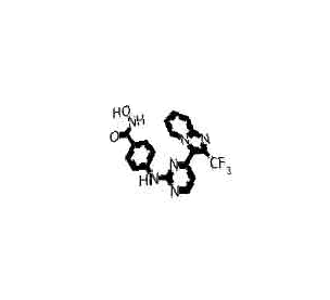 O=C(NO)c1ccc(Nc2nccc(-c3c(C(F)(F)F)nc4ccccn34)n2)cc1